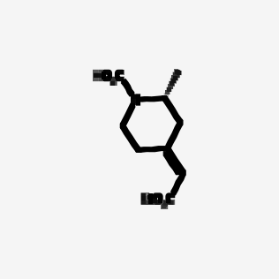 CCOC(=O)/C=C1\CCN(C(=O)O)[C@H](C)C1